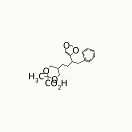 CC1(C(=O)O)OCC(CCC(Cc2ccccc2)C2=COCO2)CO1